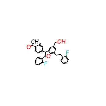 CC(=O)c1ccc(-c2c(-c3ccccc3F)oc3c(CCc4ccccc4F)cc(CO)cc23)cc1